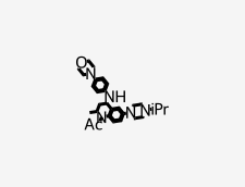 CC(=O)N1c2ccc(N3CCN(C(C)C)CC3)cc2C(Nc2ccc(N3CCOCC3)cc2)CC1C